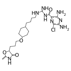 C=C1NC(=O)C(CCCOC2CCC(CCCCNC(=N)NC(=O)c3nc(Cl)c(N)nc3N)CC2)O1